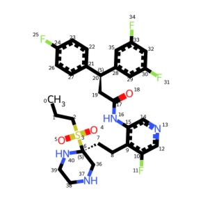 CCCS(=O)(=O)[C@@]1(CCc2c(F)cncc2NC(=O)C[C@@H](c2ccc(F)cc2)c2cc(F)cc(F)c2)CNCCN1